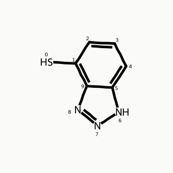 Sc1cccc2[nH]nnc12